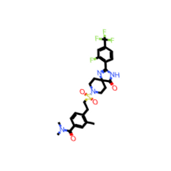 Cc1cc(C(=O)N(C)C)ccc1CCS(=O)(=O)N1CCC2(CC1)N=C(c1ccc(C(F)(F)F)cc1F)NC2=O